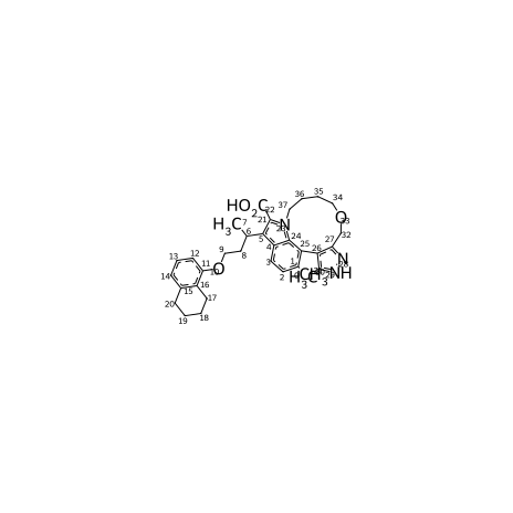 Cc1ccc2c(C(C)CCOc3cccc4c3CCCC4)c(C(=O)O)n3c2c1-c1c(n[nH]c1C)COCCCC3